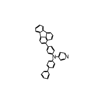 c1ccc(-c2ccc(N(c3ccncc3)c3ccc(-c4ccc5c6c(cccc46)-c4ccccc4-5)cc3)cc2)cc1